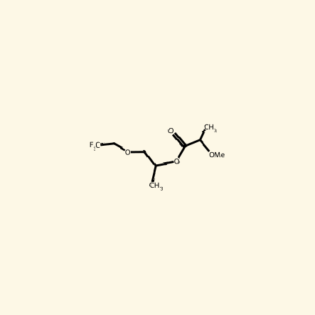 COC(C)C(=O)OC(C)COCC(F)(F)F